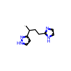 [CH2]C(CCc1ncc[nH]1)c1cc[nH]n1